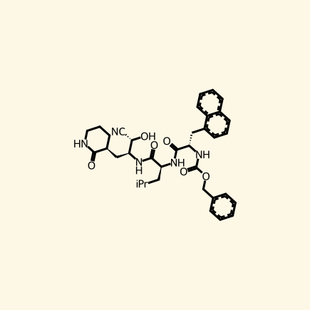 CC(C)C[C@H](NC(=O)[C@H](Cc1cccc2ccccc12)NC(=O)OCc1ccccc1)C(=O)N[C@@H](C[C@@H]1CCCNC1=O)[C@@H](O)C#N